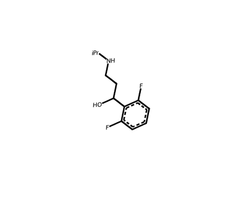 CC(C)NCCC(O)c1c(F)cccc1F